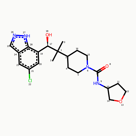 CC(C)(C1CCN(C(=O)NC2CCOC2)CC1)[C@H](O)c1cc(Cl)cc2cn[nH]c12